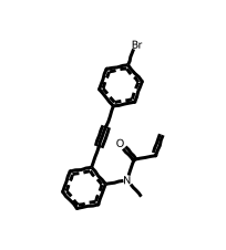 C=CC(=O)N(C)c1ccccc1C#Cc1ccc(Br)cc1